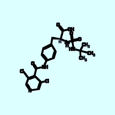 CC(C)(C)NS(=O)(=O)[AsH][C@@H](Cc1ccc(NC(=O)c2c(Cl)cncc2Cl)cc1)C(=O)O